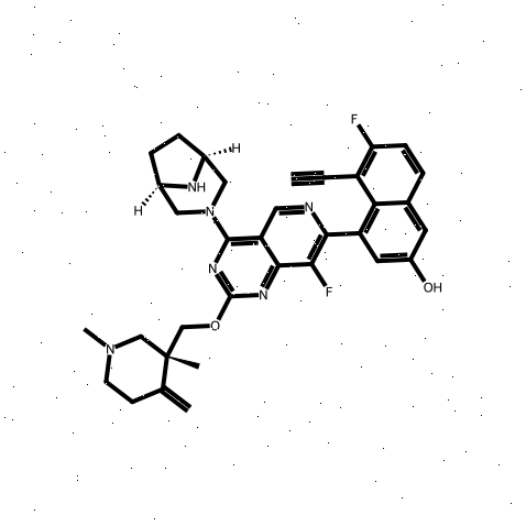 C#Cc1c(F)ccc2cc(O)cc(-c3ncc4c(N5C[C@H]6CC[C@@H](C5)N6)nc(OC[C@@]5(C)CN(C)CCC5=C)nc4c3F)c12